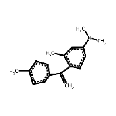 C=C(c1ccc(C)cc1)c1ccc(N(C)C)cc1C